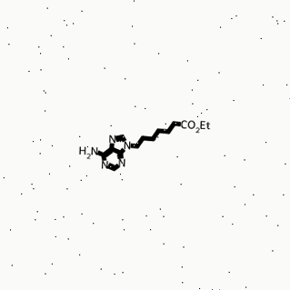 CCOC(=O)CCCCCCn1cnc2c(N)ncnc21